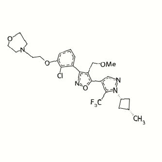 COCc1c(-c2cccc(OCCN3CCOCC3)c2Cl)noc1-c1cnn([C@H]2C[C@@H](C)C2)c1C(F)(F)F